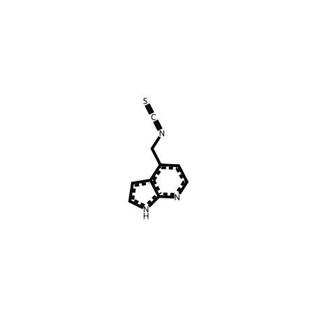 S=C=NCc1ccnc2[nH]ccc12